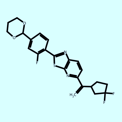 C=C(c1ccc2nc(-c3ccc(C4OCCCO4)cc3F)sc2n1)C1CCC(F)(F)C1